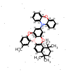 Cc1ccc2c(c1)B1c3ccc4c(c3Oc3cc(N5c6ccccc6Oc6ccccc65)cc(c31)O2)C(C)(C)CCC4(C)C